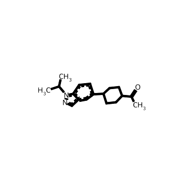 CC(=O)C1CCC(c2ccc3c(cnn3C(C)C)c2)CC1